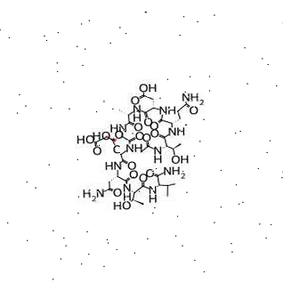 CC(=O)N[C@H](C(=O)N[C@@H](CCC(N)=O)C(=O)N[C@@H](CC(=O)O)C(=O)N[C@@H](C)C(=O)N[C@@H](CCC(=O)O)C(=O)N[C@@H](CC(=O)O)C(=O)N[C@@H](CC(N)=O)C(=O)N[C@H](C(=O)N[C@H](C(N)=O)C(C)C)[C@@H](C)O)[C@@H](C)O